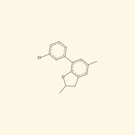 [CH2]C1Cc2cc(C)cc(-c3cccc(Cl)c3)c2O1